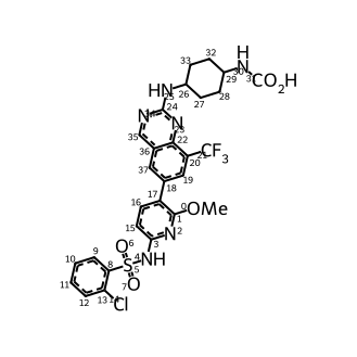 COc1nc(NS(=O)(=O)c2ccccc2Cl)ccc1-c1cc(C(F)(F)F)c2nc(NC3CCC(NC(=O)O)CC3)ncc2c1